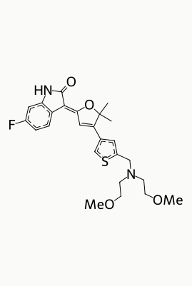 COCCN(CCOC)Cc1cc(C2=CC(=C3C(=O)Nc4cc(F)ccc43)OC2(C)C)cs1